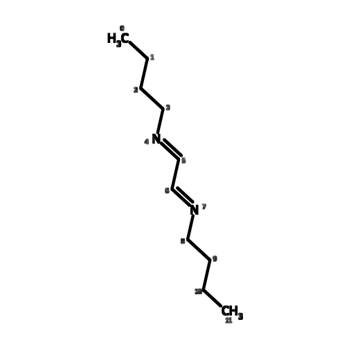 CCCCN=CC=NCCCC